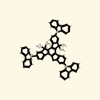 CC1(C)c2cc(-n3c4ccccc4c4ccccc43)ccc2-c2c1c1c(c3c2C(C)(C)c2cc(-n4c5ccccc5c5ccccc54)ccc2-3)Cc2cc(-n3c4ccccc4c4ccccc43)ccc2-1